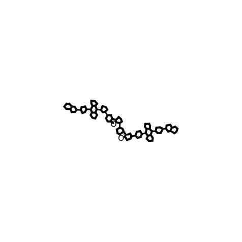 c1cc(-c2ccc3oc4c(-c5ccc6oc7ccc(-c8ccc(-c9c%10ccccc%10c(-c%10ccc(-c%11ccc%12ccccc%12c%11)cc%10)c%10ccccc9%10)cc8)cc7c6c5)cccc4c3c2)cc(-c2c3ccccc3c(-c3ccc(-c4ccc5ccccc5c4)cc3)c3ccccc23)c1